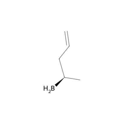 B[C@H](C)CC=C